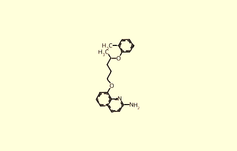 Cc1ccccc1OC(C)CCCOc1cccc2ccc(N)nc12